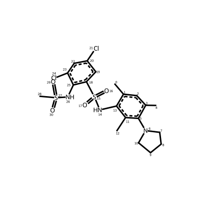 Cc1cc(C)c(N2CCCC2)c(C)c1NS(=O)(=O)c1cc(Cl)cc(Cl)c1NS(C)(=O)=O